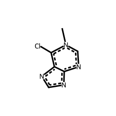 Cn1cnc2ncnc-2c1Cl